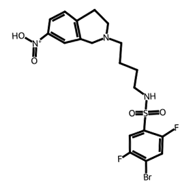 O=[N+](O)c1ccc2c(c1)CN(CCCCNS(=O)(=O)c1cc(F)c(Br)cc1F)CC2